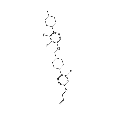 C=CCOc1ccc(C2CCC(COc3ccc(C4CCC(C)CC4)c(F)c3F)CC2)c(F)c1